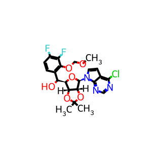 COCOc1c(C(O)[C@H]2O[C@@H](n3ccc4c(Cl)ncnc43)[C@@H]3OC(C)(C)O[C@@H]32)ccc(F)c1F